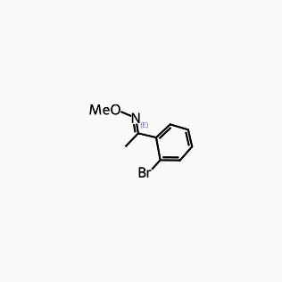 CO/N=C(\C)c1ccccc1Br